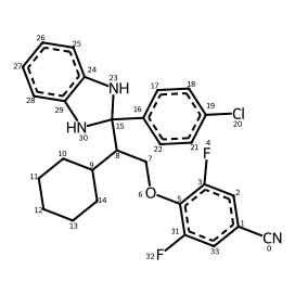 N#Cc1cc(F)c(OCC(C2CCCCC2)C2(c3ccc(Cl)cc3)Nc3ccccc3N2)c(F)c1